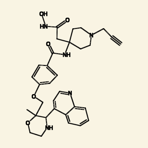 C#CCN1CCC(CC(=O)NO)(NC(=O)c2ccc(OCC3(C)OCCNC3c3ccnc4ccccc34)cc2)CC1